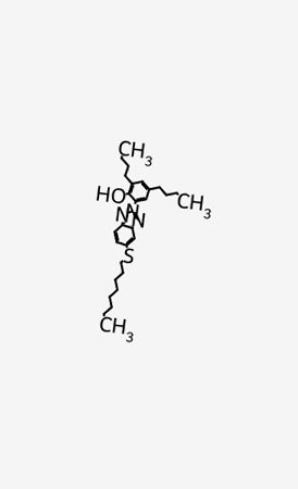 CCCCCCCCSc1ccc2nn(-c3cc(CCCC)cc(CCCC)c3O)nc2c1